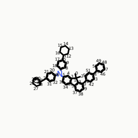 CC1(C)c2cc(N(c3ccc(C4CCCCC4)cc3)c3ccc(C4CC5CCC4CC5)cc3)ccc2-c2cccc(-c3ccc(-c4ccccc4)cc3)c21